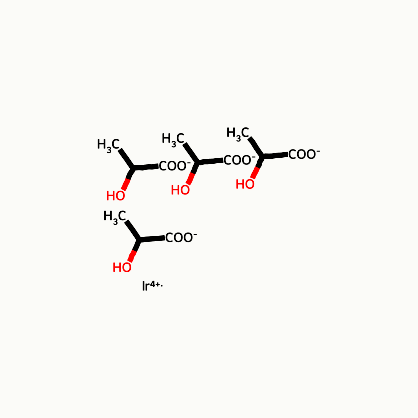 CC(O)C(=O)[O-].CC(O)C(=O)[O-].CC(O)C(=O)[O-].CC(O)C(=O)[O-].[Ir+4]